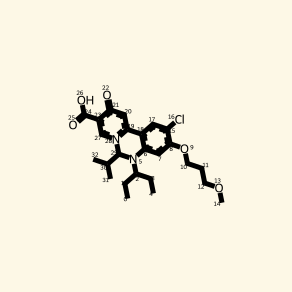 CCC(CC)N1c2cc(OCCCOC)c(Cl)cc2-c2cc(=O)c(C(=O)O)cn2C1C(C)C